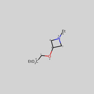 CCOC(=O)COC1CN(CC)C1